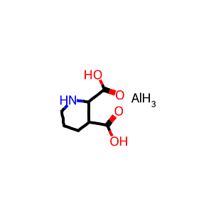 O=C(O)C1CCCNC1C(=O)O.[AlH3]